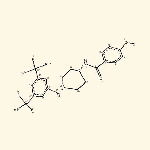 COc1ccc(C(=O)N[C@H]2CC[C@@H](Nc3cc(C(F)(F)F)nc(C(F)(F)F)c3)CC2)cc1